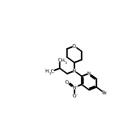 CC(C)CN(c1ncc(Br)cc1[N+](=O)[O-])C1CCOCC1